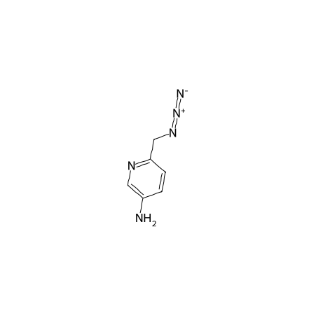 [N-]=[N+]=NCc1ccc(N)cn1